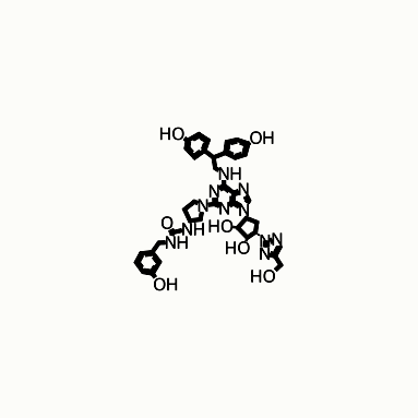 O=C(NCc1cccc(O)c1)N[C@@H]1CCN(c2nc(NCC(c3ccc(O)cc3)c3ccc(O)cc3)c3ncn([C@@H]4C[C@H](n5ncc(CO)n5)[C@@H](O)[C@H]4O)c3n2)C1